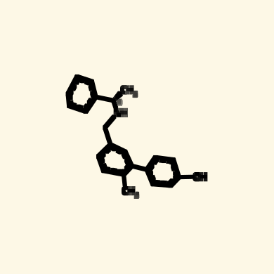 Cc1ccc(CN[C@H](C)c2ccccc2)cc1-c1ccc(O)cc1